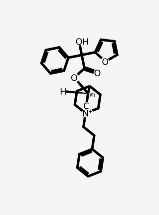 O=C(O[C@H]1C[N+]2(CCc3ccccc3)CCC1CC2)C(O)(c1ccccc1)c1ccco1